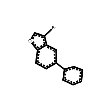 Brc1coc2ccc(-c3ccccc3)cc12